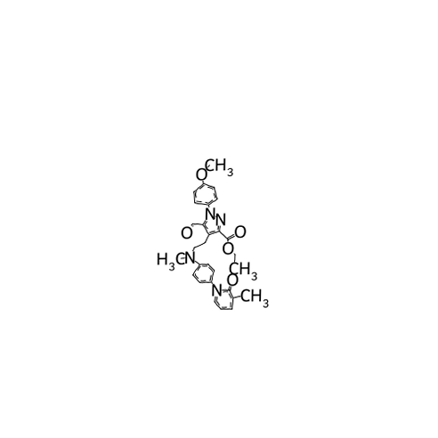 CCOC(=O)c1nn(-c2ccc(OC)cc2)c(C=O)c1CCN(C)c1ccc(-n2cccc(C)c2=O)cc1